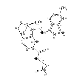 Cc1ccc2c(NC(=O)N3C4=C(C=CC(C(=O)NC5CC5(F)F)N4)N4CC[C@H]3C4)n[nH]c2n1